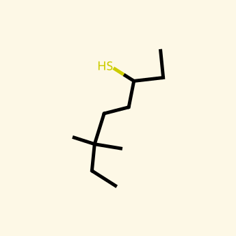 CCC(S)CCC(C)(C)CC